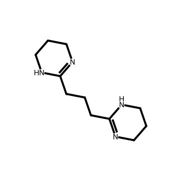 C1CN=C(CCCC2=NCCCN2)NC1